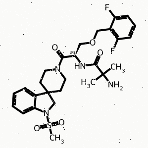 CC(C)(N)C(=O)N[C@H](COCc1c(F)cccc1F)C(=O)N1CCC2(CC1)CN(S(C)(=O)=O)c1ccccc12